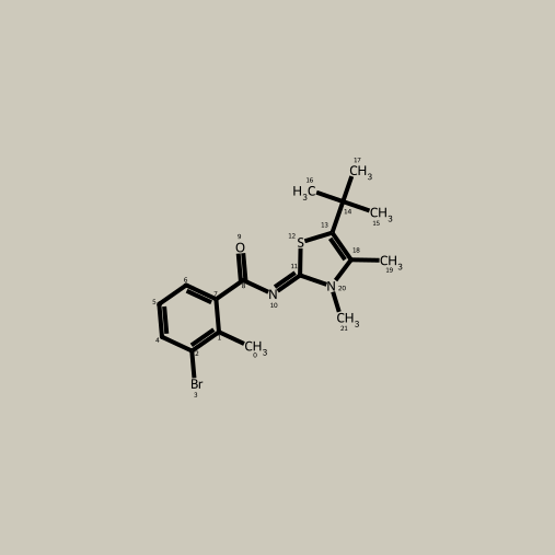 Cc1c(Br)cccc1C(=O)/N=c1\sc(C(C)(C)C)c(C)n1C